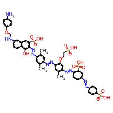 Cc1cc(N=Nc2c(S(=O)(=O)O)cc3cc(NCOc4ccc(N)cc4)ccc3c2O)c(C)cc1N=Nc1cc(C)c(N=Nc2ccc(N=Nc3ccc(S(=O)(=O)O)cc3)cc2S(=O)(=O)O)cc1OCCS(=O)(=O)O